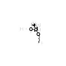 Cc1ccc(-c2c(Cl)c(-c3ccc(OCCCC(F)(F)F)cc3)[nH]c(=O)c2-c2nnn[nH]2)cc1